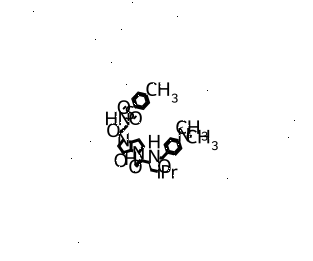 Cc1ccc(S(=O)(=O)NCC(=O)N2CC(=O)[C@@H]3C2CCN3C(=O)[C@H](CC(C)C)NC(=O)c2ccc(N(C)C)cc2)cc1